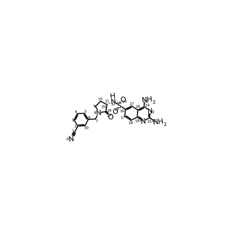 N#Cc1cccc(CN2CC[C@H](NS(=O)(=O)c3ccc4nc(N)nc(N)c4c3)C2=O)c1